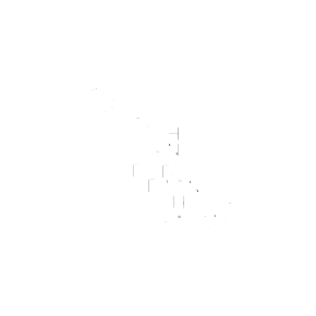 Cc1ccc(-c2ccc([C@H](N[C@@H](CC(C)C)C(=O)N3C[C@H](F)[C@H]4OCC(=O)[C@H]43)C(F)(F)F)cc2)cc1